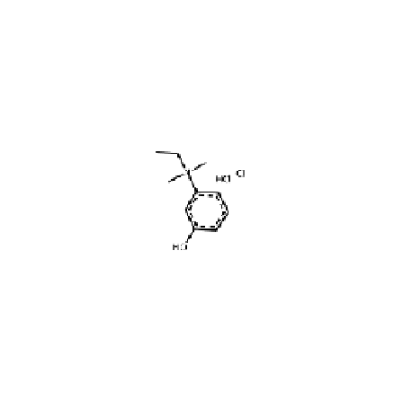 CC[N+](C)(C)c1cccc(O)c1.Cl.[Cl-]